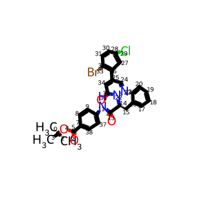 CC(C)(C)OC(=O)c1ccc(NC(=O)[C@H](Cc2ccccc2)n2ncc(-c3cc(Cl)ccc3Br)cc2=O)cc1